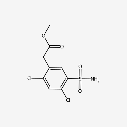 COC(=O)Cc1cc(S(N)(=O)=O)c(Cl)cc1Cl